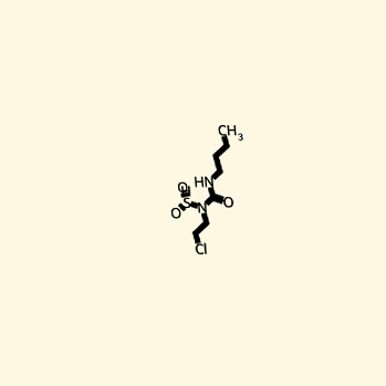 CCCCNC(=O)N(CCCl)[SH](=O)=O